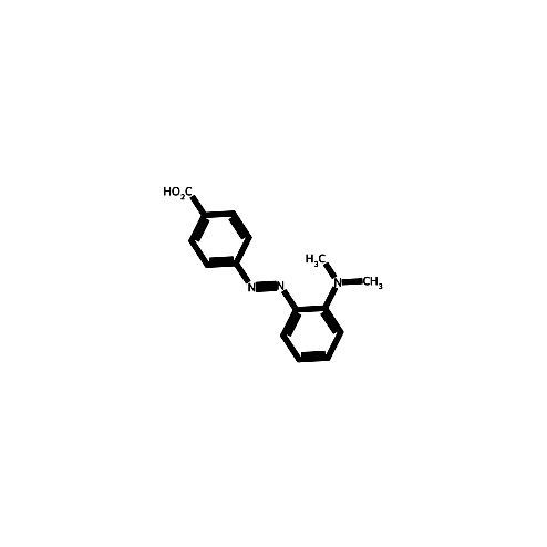 CN(C)c1ccccc1N=Nc1ccc(C(=O)O)cc1